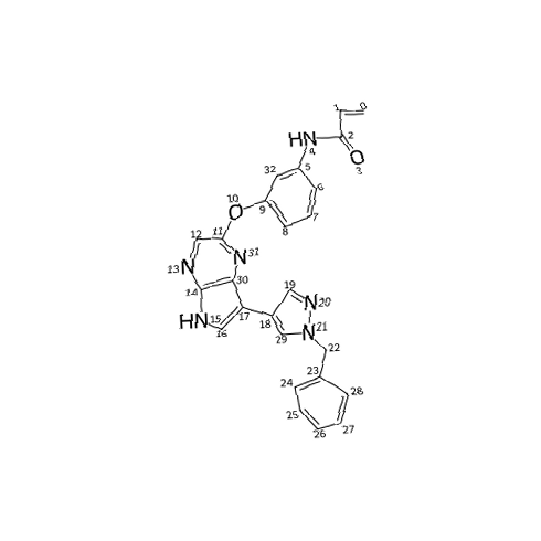 C=CC(=O)Nc1cccc(Oc2cnc3[nH]cc(-c4cnn(Cc5ccccc5)c4)c3n2)c1